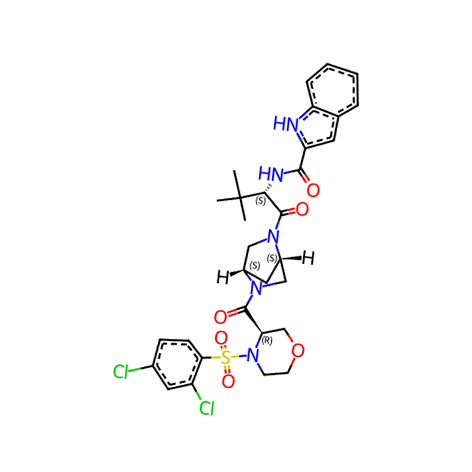 CC(C)(C)[C@H](NC(=O)c1cc2ccccc2[nH]1)C(=O)N1C[C@@H]2C[C@H]1CN2C(=O)[C@H]1COCCN1S(=O)(=O)c1ccc(Cl)cc1Cl